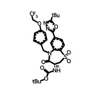 CC(C)(C)OC(=O)N[C@H]1CS(=O)(=O)c2ccc(-c3nnc(C(C)(C)C)o3)cc2N(Cc2ccc(OCC(F)(F)F)cc2)C1=O